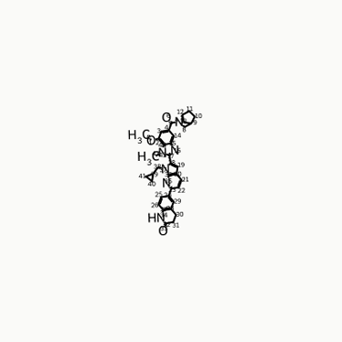 COc1cc(C(=O)N2CC3CCC2C3)cc2nc(-c3cc4ccc(-c5ccc6c(c5)CCC(=O)N6)nc4n3CC3CC3)n(C)c12